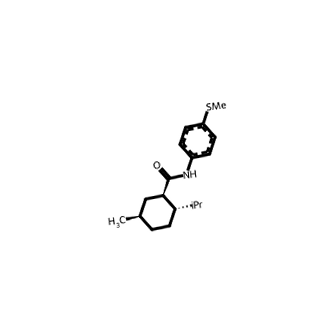 CSc1ccc(NC(=O)[C@@H]2C[C@H](C)CC[C@H]2C(C)C)cc1